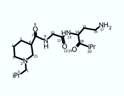 CC(C)CN1CCCC(C(=O)NCC(=O)NC(CCN)C(=O)C(C)C)C1